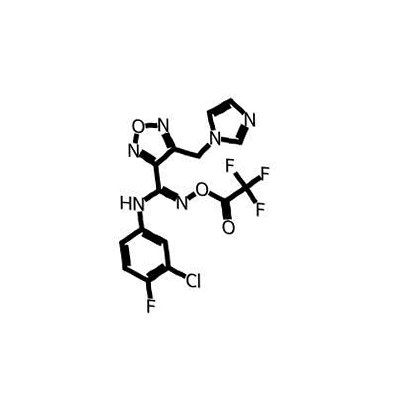 O=C(ON=C(Nc1ccc(F)c(Cl)c1)c1nonc1Cn1ccnc1)C(F)(F)F